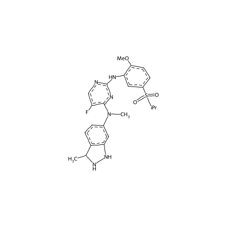 COc1ccc(S(=O)(=O)C(C)C)cc1Nc1ncc(F)c(N(C)c2ccc3c(c2)NNC3C)n1